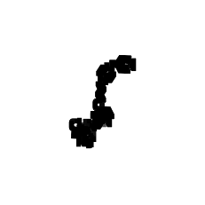 Cc1nc(C)c(Cl)c(NCc2nccc(OCCCCN3CCN(Cc4ccncc4)CC3)c2C)n1